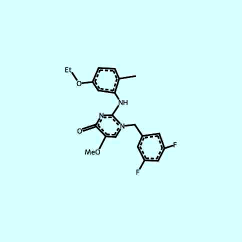 CCOc1ccc(C)c(Nc2nc(=O)c(OC)cn2Cc2cc(F)cc(F)c2)c1